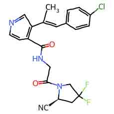 C/C(=C\c1ccc(Cl)cc1)c1cnccc1C(=O)NCC(=O)N1CC(F)(F)C[C@H]1C#N